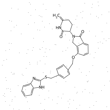 C=C1CCC(N2Cc3c(OCc4ccc(CSc5nc6ccccc6[nH]5)cc4)cccc3C2=O)C(=O)N1